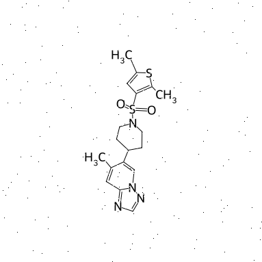 Cc1cc(S(=O)(=O)N2CCC(c3cn4ncnc4cc3C)CC2)c(C)s1